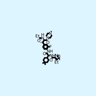 CCC(=O)N[C@@H](C(=O)N1CCN(C)CC1)[C@@H](C)c1ccc(NC(=O)[C@@H](NC(=O)c2nonc2CC)C2CCC(C)(C)CC2)c(F)c1